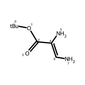 CC(C)(C)OC(=O)C(N)=CN